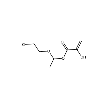 C=C(O)C(=O)OC(C)OCCCl